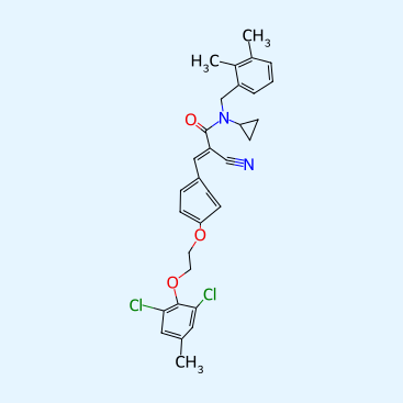 Cc1cc(Cl)c(OCCOc2ccc(/C=C(\C#N)C(=O)N(Cc3cccc(C)c3C)C3CC3)cc2)c(Cl)c1